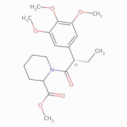 CC[C@H](C(=O)N1CCCCC1C(=O)OC)c1cc(OC)c(OC)c(OC)c1